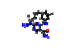 Cc1cc(C)cc(Nc2nc(N(N)[C@H](C)CC(C)C)ncc2C(N)=O)c1